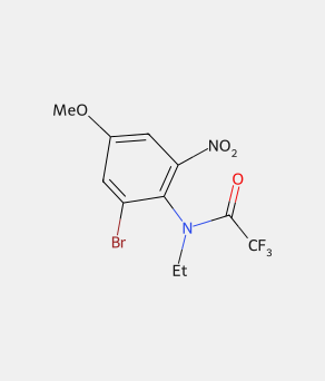 CCN(C(=O)C(F)(F)F)c1c(Br)cc(OC)cc1[N+](=O)[O-]